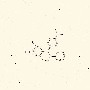 CC(C)c1ccc([C@@H]2c3cc(F)c(O)cc3CC[C@@H]2c2ccccc2)cc1